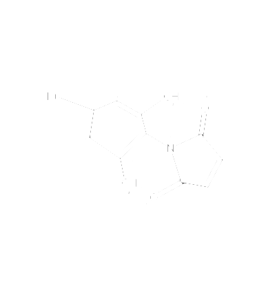 CCC1C=C(C)C(N2C(=O)C=CC2=O)=C(C)C1